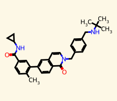 Cc1ccc(C(=O)NC2CC2)cc1-c1ccc2c(=O)n(Cc3ccc(CNC(C)(C)C)cc3)ccc2c1